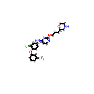 FC(F)(F)c1cccc(Oc2ccc(Nc3ccnc(OCCCC4CNCCO4)n3)cc2Cl)c1